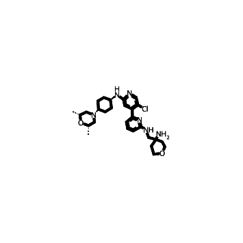 C[C@@H]1CN([C@H]2CC[C@H](Nc3cc(-c4cccc(NCC5(N)CCOCC5)n4)c(Cl)cn3)CC2)C[C@H](C)O1